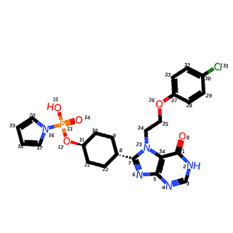 O=c1[nH]cnc2nc([C@H]3CC[C@H](OP(=O)(O)n4cccc4)CC3)n(CCOc3ccc(Cl)cc3)c12